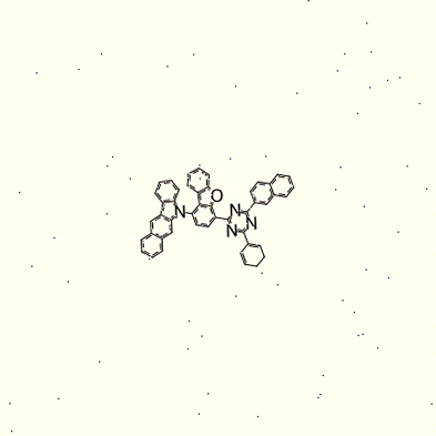 C1=CC(c2nc(-c3ccc4ccccc4c3)nc(-c3ccc(-n4c5ccccc5c5cc6ccccc6cc54)c4c3oc3ccccc34)n2)=CCC1